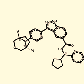 O=C(N[C@@H](c1ccccn1)C1CCCC1)c1ccc2[nH]nc(-c3ccc(N4[C@@H]5CC[C@H]4COC5)cc3)c2c1